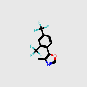 Cc1ncoc1-c1ccc(C(F)(F)F)cc1C(F)(F)F